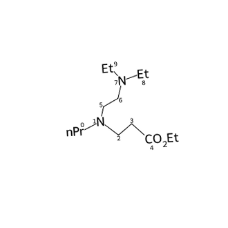 CCCN(CCC(=O)OCC)CCN(CC)CC